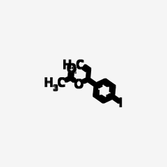 C=CC(OC(C)=O)c1ccc(I)cc1